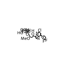 CO[C@H](COP(=O)(O)CP(=O)(O)O)C[C@H](O)c1cnc2c(N3CCC(F)(F)C3)cc(Cl)nn12